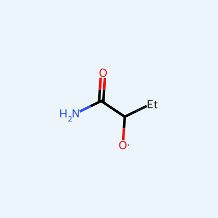 CCC([O])C(N)=O